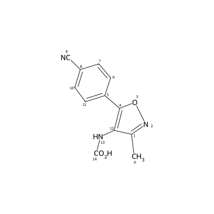 Cc1noc(-c2ccc(C#N)cc2)c1NC(=O)O